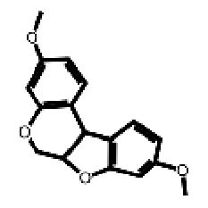 COc1ccc2c(c1)OCC1Oc3cc(OC)ccc3C21